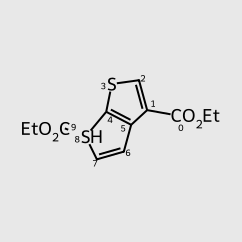 CCOC(=O)c1csc2c1C=C[SH]2C(=O)OCC